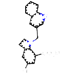 CCOC(=O)c1cc(C(F)(F)F)cc2ccn(Cc3cnc4ccccc4c3)c12